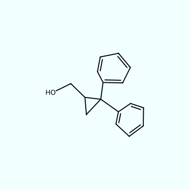 OCC1CC1(c1ccccc1)c1ccccc1